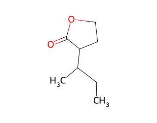 CCC(C)C1CCOC1=O